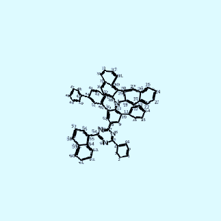 C1=CCCC(c2nc(-c3cc(-c4ccccc4)c(-n4c5cc6ccccc6cc5c5c6ccccc6ccc54)c(-c4cccc(-c5ccccc5)c4)c3)nc(-c3cccc4ccccc34)n2)=C1